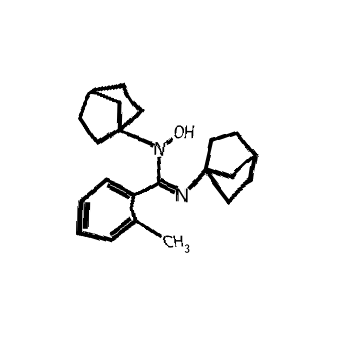 Cc1ccccc1C(=NC12CCC(CC1)C2)N(O)C12CCC(CC1)C2